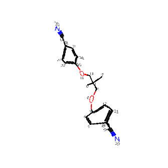 CC(C)(COc1ccc(C#N)cc1)COc1ccc(C#N)cc1